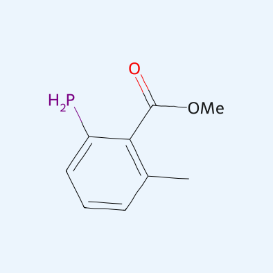 COC(=O)c1c(C)cccc1P